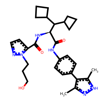 Cc1n[nH]c(C)c1-c1ccc(NC(=O)[C@@H](NC(=O)c2ccnn2CCCO)C(C2CCC2)C2CCC2)cc1